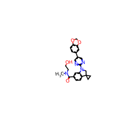 CN(CCO)C(=O)c1ccc2c(c1)N(c1ncc(-c3ccc4c(c3)OCO4)cn1)CC21CC1